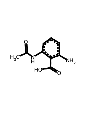 CC(=O)Nc1cccc(N)c1C(=O)O